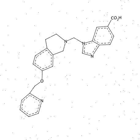 O=C(O)c1ccc2ncn(CN3CCc4ccc(OCc5ccccn5)cc4C3)c2c1